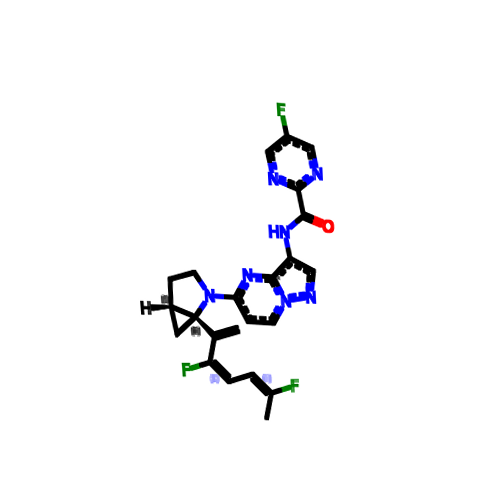 C=C(/C(F)=C\C=C(/C)F)[C@@]12C[C@@H]1CCN2c1ccn2ncc(NC(=O)c3ncc(F)cn3)c2n1